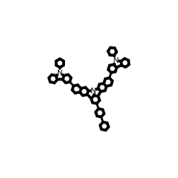 c1ccc(-c2ccc(-c3cc4c5cc6ccc(-c7ccc8c(c7)c7ccccc7n8-c7ccccc7)cc6cc5n5c6cc7cc(-c8ccc9c(c8)c8ccccc8n9-c8ccccc8)ccc7cc6c(c3)c45)cc2)cc1